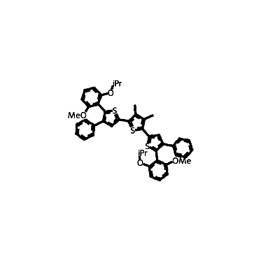 COc1cccc(OC(C)C)c1-c1sc(-c2sc(-c3cc(-c4ccccc4)c(-c4c(OC)cccc4OC(C)C)s3)c(C)c2C)cc1-c1ccccc1